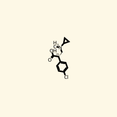 CN(C[C@@H](C(=O)O)c1ccc(Cl)cc1)C1CC1